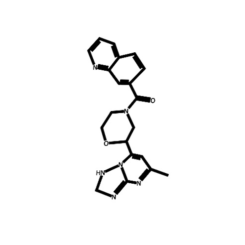 CC1=NC2=NCNN2C(C2CN(C(=O)c3ccc4cccnc4c3)CCO2)=C1